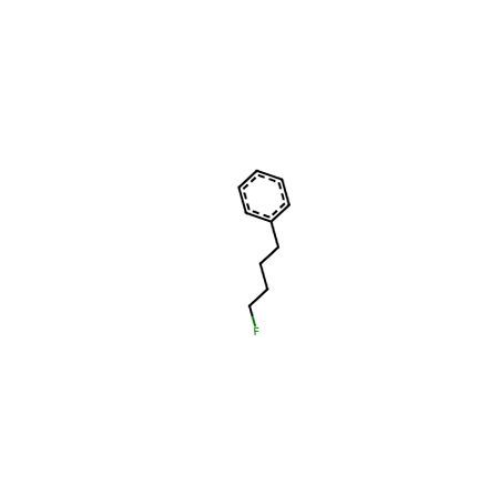 FCCCCc1ccccc1